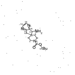 CC(C)(C)OC(=O)N1CCC2(CC1)Cc1nccnc1C2N